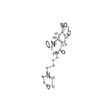 O=C(NCCCCN1CCOCC1)c1cc(Cl)c([N+](=O)[O-])cc1[N+](=O)[O-]